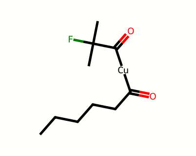 CCCCC[C](=O)[Cu][C](=O)C(C)(C)F